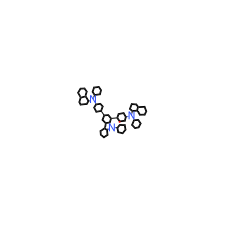 c1ccc(N(c2ccc(-c3cc(-c4ccc(N(c5ccccc5)c5cccc6ccccc56)cc4)c4c(c3)c3ccccc3n4-c3ccccc3)cc2)c2cccc3ccccc23)cc1